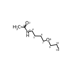 CC(=O)NCCCCOCCI